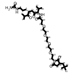 CC(C)C(=O)[C@H](CCCNC(N)=O)CC(=O)[C@@H](NC(=O)CCOCCOCCOCCOCCN1C(=O)CC(CC(C)(C)C)C1=O)C(C)C